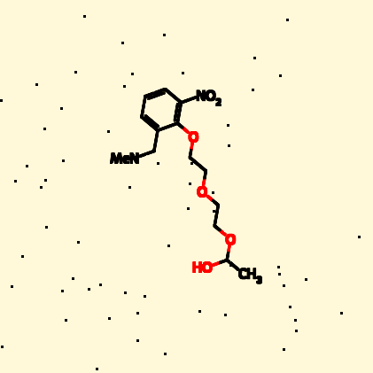 CNCc1cccc([N+](=O)[O-])c1OCCOCCOC(C)O